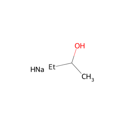 CCC(C)O.[NaH]